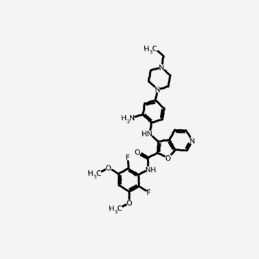 CCN1CCN(c2ccc(Nc3c(C(=O)Nc4c(F)c(OC)cc(OC)c4F)oc4cnccc34)c(N)c2)CC1